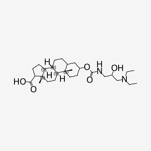 CCN(CC)CC(O)CNC(=O)OC1CC[C@@]2(C)C(CC[C@@H]3[C@@H]2CC[C@]2(C)C(C(=O)O)CC[C@@H]32)C1